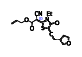 C=CCOC(=O)/C(C#N)=c1\sc(=C=Cc2ccoc2)c(=O)n1CC